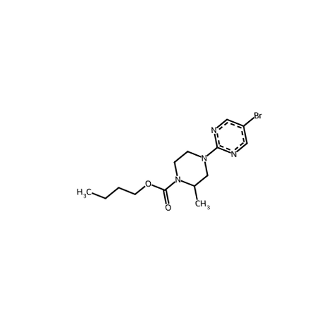 CCCCOC(=O)N1CCN(c2ncc(Br)cn2)CC1C